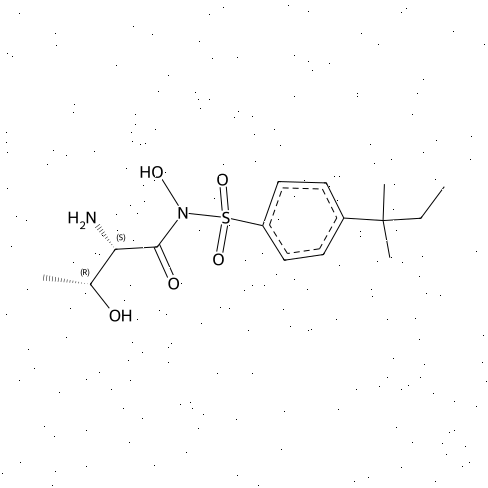 CCC(C)(C)c1ccc(S(=O)(=O)N(O)C(=O)[C@@H](N)[C@@H](C)O)cc1